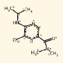 CC(C)Nc1ncc(C(=O)N(C)C)nc1Cl